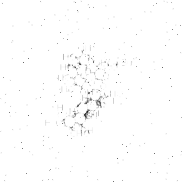 CCCCOC(=O)C1OC(O[C@H]2CC[C@]3(C)[C@H]4C=CC5[C@@H]6CC(C)(C)C[C@@H](C=O)C6[C@H](O)C[C@@]5(C)[C@]4(C)CC[C@H]3[C@]2(C)C=O)C(OC2OC(CO)C(O)C(O)C2O)C(OC2OCC(O)C(O)C2O)C1O